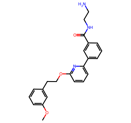 COc1cccc(CCOc2cccc(-c3cccc(C(=O)NCCN)c3)n2)c1